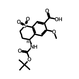 COc1cc2c(cc1C(=O)O)S(=O)(=O)CC[C@@H]2NC(=O)OC(C)(C)C